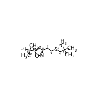 CC(C)(C)CSCCc1cc(C(C)(C)I)on1